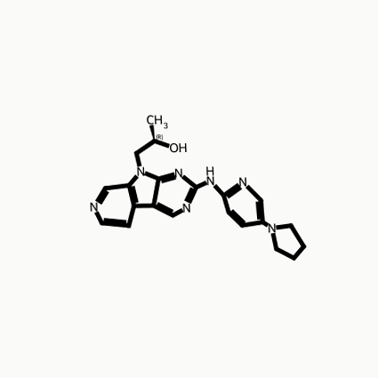 C[C@@H](O)Cn1c2cnccc2c2cnc(Nc3ccc(N4CCCC4)cn3)nc21